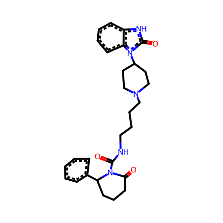 O=C1CCCC(c2ccccc2)N1C(=O)NCCCCN1CCC(n2c(=O)[nH]c3ccccc32)CC1